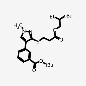 CCCCC(CC)COC(=O)CCSc1nn(C)cc1-c1cccc(C(=O)OC(C)(C)C)c1